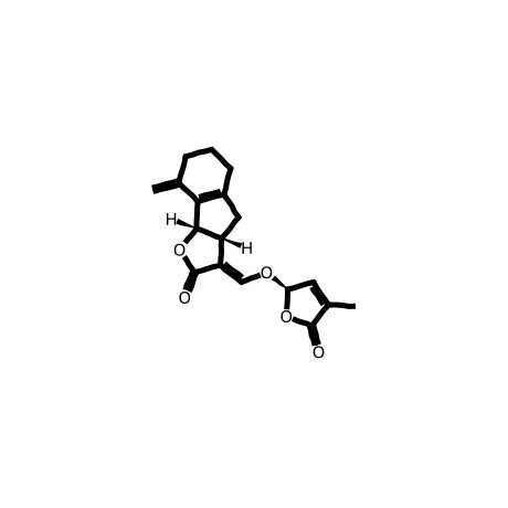 C=C1CCCC2=C1[C@H]1OC(=O)/C(=C/O[C@H]3C=C(C)C(=O)O3)[C@H]1C2